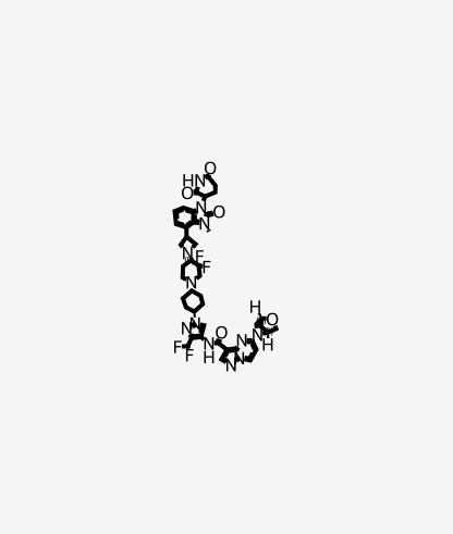 Cn1c(=O)n(C2CCC(=O)NC2=O)c2cccc(C3CN([C@@H]4CCN([C@H]5CC[C@H](n6cc(NC(=O)c7cnn8ccc(N9C[C@H]%10C[C@@H]9CO%10)nc78)c(C(F)F)n6)CC5)CC4(F)F)C3)c21